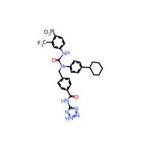 O=C(Nc1nn[nH]n1)c1ccc(CN(C(=O)Nc2ccc([N+](=O)[O-])c(C(F)(F)F)c2)c2ccc(C3CCCCC3)cc2)cc1